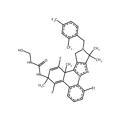 CCc1cccc2c1-n1nc3c(c1C1(C)C(F)=CC(C)(NC(=O)NCO)C(F)=C21)CN(Cc1ccc(C(F)(F)F)cc1C(F)(F)F)C3(C)C